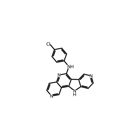 Clc1ccc(Nc2nc3ccncc3c3[nH]c4ccncc4c23)cc1